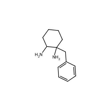 NC1CCCCC1(N)Cc1ccccc1